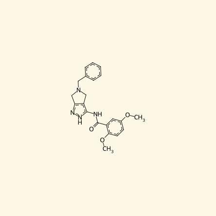 COc1ccc(OC)c(C(=O)Nc2[nH]nc3c2CN(Cc2ccccc2)C3)c1